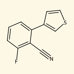 N#Cc1c(F)cccc1-c1ccsc1